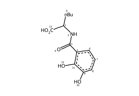 CCCCC(NC(=O)c1cccc(O)c1O)C(=O)O